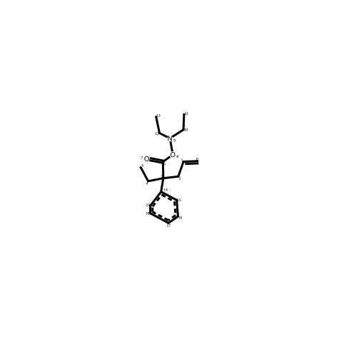 C=CCC(CC)(C(=O)ON(CC)CC)c1ccccc1